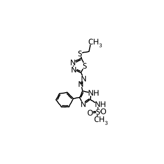 CCSc1nnc(/N=N/c2[nH]c(NS(C)(=O)=O)nc2-c2ccccc2)s1